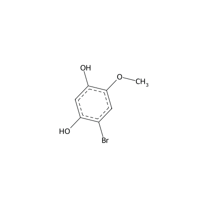 COc1cc(Br)c(O)cc1O